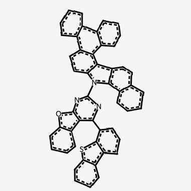 c1ccc2c(c1)ccc1c3c4c5ccccc5c5ccccc5c4ccc3n(-c3nc(-c4cccc5c4sc4ccccc45)c4c(n3)oc3ccccc34)c21